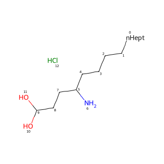 CCCCCCCCCCCC(N)CCC(O)O.Cl